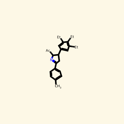 CCc1cc(C2CC(c3ccc(C)cc3)=NC2C(C)=O)cc(CC)c1CC